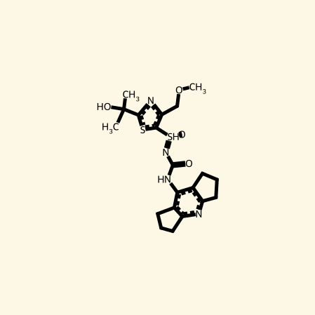 COCc1nc(C(C)(C)O)sc1/[SH](=O)=N/C(=O)Nc1c2c(nc3c1CCC3)CCC2